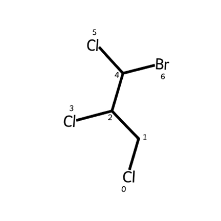 ClCC(Cl)C(Cl)Br